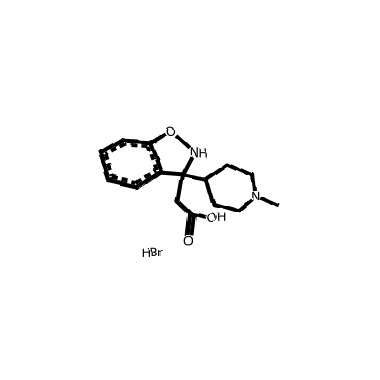 Br.CN1CCC(C2(CC(=O)O)NOc3ccccc32)CC1